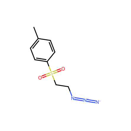 Cc1ccc(S(=O)(=O)CCN=[N+]=[N-])cc1